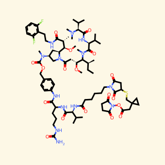 CC[C@H](C)C([C@@H](CC(=O)N1C[C@@H](N(C)C(=O)OCc2ccc(NC(=O)C(CCCNC(N)=O)NC(=O)[C@@H](NC(=O)CCCCCN3C(=O)CC(SCC4(CC(=O)ON5C(=O)CCC5=O)CC4)C3=O)C(C)C)cc2)C[C@H]1[C@H](OC)[C@@H](C)C(=O)NCCc1c(F)cccc1F)OC)N(C)C(=O)[C@@H](NC(=O)[C@H](C(C)C)N(C)C)C(C)C